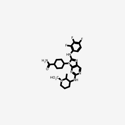 CC1C(Nc2ncc3nc(Nc4ccc(F)c(F)c4F)n(C4CCC(C(N)=O)CC4)c3n2)CCCN1C(=O)O